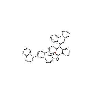 c1ccc(N(c2ccc(-c3ccc(-c4cccc5ccccc45)cc3)cc2)c2cc3ccccc3c3ccccc23)c(-c2cc3ccccc3o2)c1